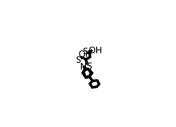 OC(=S)CC(C(O)=S)c1nc2ccc(C3CCCCC3)cc2s1